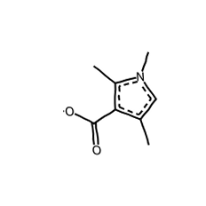 Cc1cn(C)c(C)c1C([O])=O